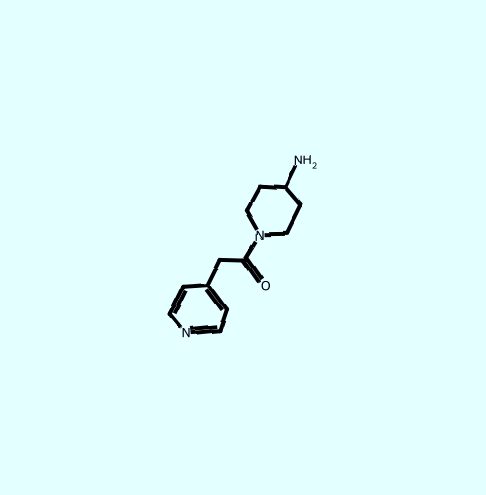 NC1CCN(C(=O)Cc2ccncc2)CC1